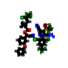 CC1(C)[C@H](C(=O)OC(C#N)c2cccc(Oc3ccccc3)c2)[C@@H]1/C=C(\Cl)C(F)(F)F.N#Cc1nn(-c2c(Cl)cc(C(F)(F)F)cc2Cl)c(N)c1[S+]([O-])C(F)(F)F